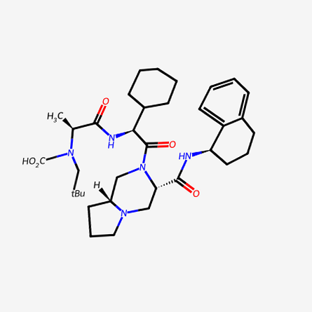 C[C@@H](C(=O)N[C@H](C(=O)N1C[C@H]2CCCN2C[C@H]1C(=O)N[C@@H]1CCCc2ccccc21)C1CCCCC1)N(CC(C)(C)C)C(=O)O